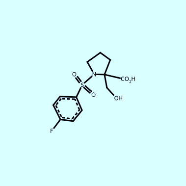 O=C(O)C1(CO)CCCN1S(=O)(=O)c1ccc(F)cc1